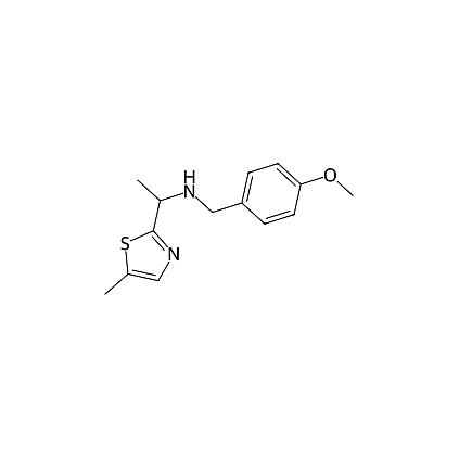 COc1ccc(CNC(C)c2ncc(C)s2)cc1